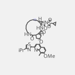 COc1ccc2c(O[C@H]3CC4C(=O)NCCCCC/C=C\[C@@H]5C[C@@]5(C(=O)NS(=O)(=O)C5CC5)NC(=O)[C@@H]4C3)cc(-c3nc(C(C)C)cs3)nc2c1C